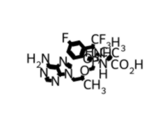 CC(Cn1cnc2c(N)ncnc21)OCP(=O)(NC(c1cccc(F)c1)C(F)(F)F)NC(C)(C)C(=O)O